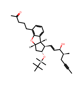 CC#CC[C@H](C)[C@H](O)/C=C/[C@@H]1[C@H]2c3cccc(CCCC(C)=O)c3O[C@H]2C[C@H]1O[Si](C)(C)C(C)(C)C